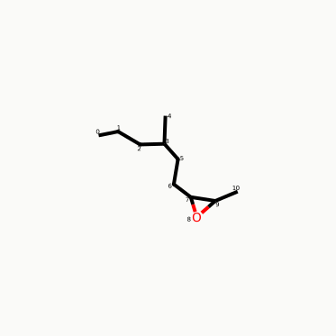 CCCC(C)CCC1OC1C